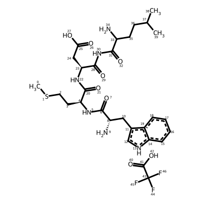 CSCC[C@H](NC(=O)[C@@H](N)Cc1c[nH]c2ccccc12)C(=O)N[C@@H](CC(=O)O)C(=O)NC(=O)C(N)CCC(C)C.O=C(O)C(F)(F)F